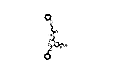 O=C(CCCOc1ccccc1)NCC(=O)N1C[C@@](F)(CO)C[C@H]1C(=O)OCc1ccccc1